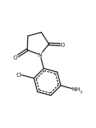 Nc1ccc(Cl)c(N2C(=O)CCC2=O)c1